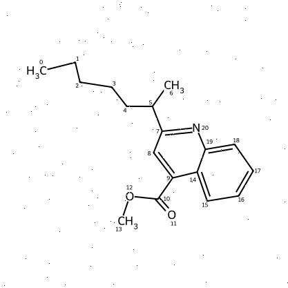 CCCCCC(C)c1cc(C(=O)OC)c2ccccc2n1